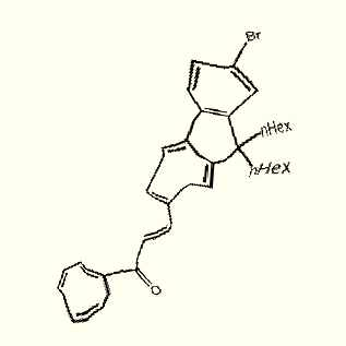 CCCCCCC1(CCCCCC)c2cc(Br)ccc2-c2ccc(/C=C/C(=O)c3ccccc3)cc21